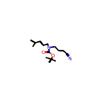 CC(C)CCCN(CCCC#N)C(=O)OC(C)(C)C